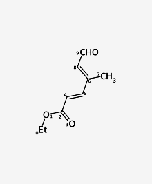 CCOC(=O)C=CC(C)=CC=O